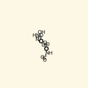 CC1(NC(=O)O)N=c2ccc(OS(=O)(=O)c3ccc(NCC=S(=O)=O)cc3)cc2=N1